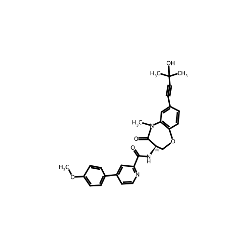 COc1ccc(-c2ccnc(C(=O)N[C@@H]3COc4ccc(C#CC(C)(C)O)cc4N(C)C3=O)c2)cc1